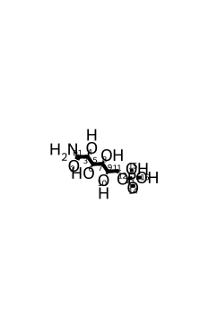 NC(=O)[C@H](O)[C@@H](O)[C@H](O)[C@H](O)COP(=O)(O)O